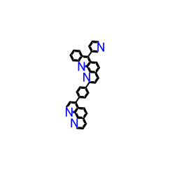 c1cncc(-c2c3ccccc3nc3c2ccc2ccc(-c4ccc(-c5ccnc6c5ccc5cccnc56)cc4)nc23)c1